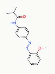 COc1ccccc1N=Nc1ccc(NC(=O)C(C)C)cc1